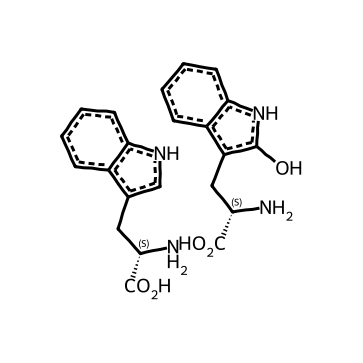 N[C@@H](Cc1c(O)[nH]c2ccccc12)C(=O)O.N[C@@H](Cc1c[nH]c2ccccc12)C(=O)O